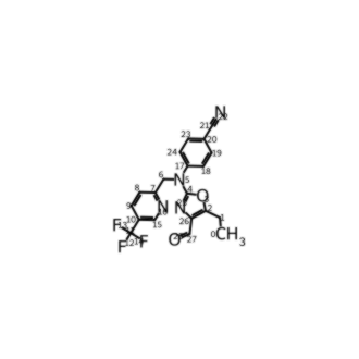 CCc1oc(N(Cc2ccc(C(F)(F)F)cn2)c2ccc(C#N)cc2)nc1C=O